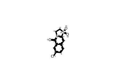 O=c1c2cc(Cl)ccc2cc2n1CCS2(=O)=O